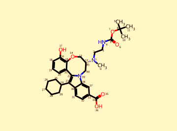 CN(CCNC(=O)OC(C)(C)C)[C@H]1COc2c(O)cccc2-c2c(C3CCCCC3)c3ccc(C(=O)O)cc3n2C1